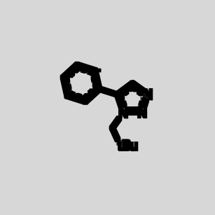 CC(C)(C)Cn1nncc1-c1[c]cccc1